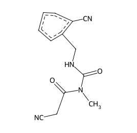 CN(C(=O)CC#N)C(=O)NCc1ccccc1C#N